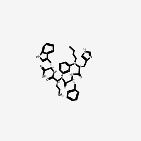 CCCCN(c1ccccc1)[C@@H](Cc1c[nH]cn1)C(=O)N[C@H](Cc1ccccc1)C(=O)N[C@@H](CCN)C(=O)N[C@@H](Cc1c[nH]c2ccccc12)C(N)=O